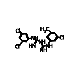 Cc1cc(Cl)cc(NC(=N)NC(=N)Nc2cc(Cl)cc(Cl)c2)c1